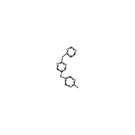 Cc1ncc(Cc2cnc(Cc3ccncn3)nc2)cn1